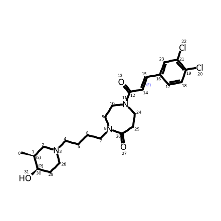 C[C@H]1CN(CCCCN2CCN(C(=O)/C=C/c3ccc(Cl)c(Cl)c3)CCC2=O)CC[C@H]1O